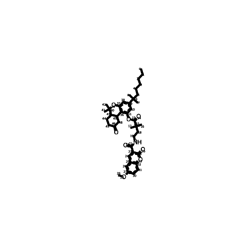 CCCCCCC(C)(C)c1cc(OC(=O)C(C)(C)CCNC(=O)c2cc3cc(OC)ccc3oc2=O)c2c(c1)OC(C)(C)C1CCC(=O)CC21